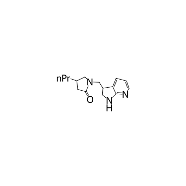 CCCC1CC(=O)N(CC2CNc3ncccc32)C1